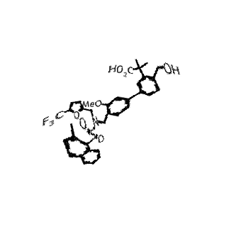 COc1cc(-c2ccc(CO)c(C(C)(C)C(=O)O)c2)ccc1CN(Cc1ccc(C(F)(F)F)o1)S(=O)(=O)c1c(C)ccc2ccccc12